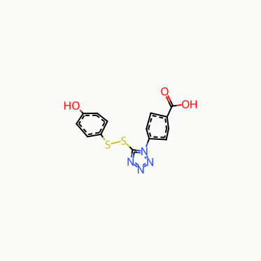 O=C(O)c1ccc(-n2nnnc2SSc2ccc(O)cc2)cc1